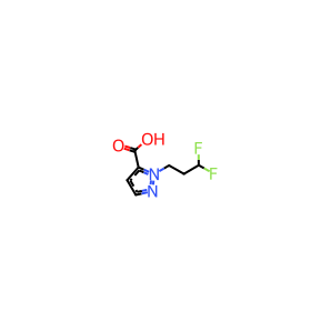 O=C(O)c1ccnn1CCC(F)F